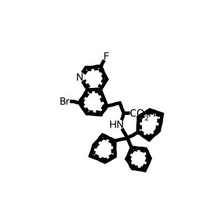 O=C(O)C(Cc1ccc(Br)c2ncc(F)cc12)NC(c1ccccc1)(c1ccccc1)c1ccccc1